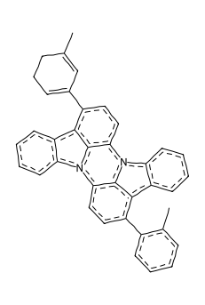 CC1=CC(c2ccc3c4c2c2ccccc2n4c2ccc(-c4ccccc4C)c4c5ccccc5n3c42)=CCC1